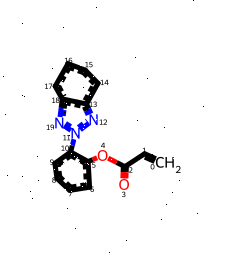 C=CC(=O)Oc1ccccc1-n1nc2ccccc2n1